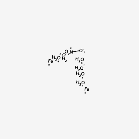 O.O.O.O.O.O.O=[N+]([O-])[O-].[Fe].[Fe]